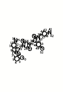 COc1cccc(CN(Cc2ccc(N(C)C)cc2)C(=O)OCCN2CC(=O)N(CCOC(=O)N(Cc3ccc(N(C)C)cc3)Cc3cccc(OC)c3)CC2=O)c1